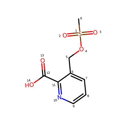 CS(=O)(=O)OCc1cccnc1C(=O)O